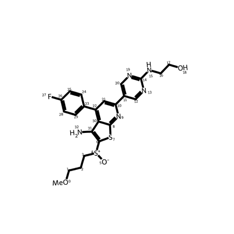 COCCC[S+]([O-])c1sc2nc(-c3cnc(NCCO)nc3)cc(-c3ccc(F)cc3)c2c1N